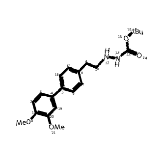 COc1ccc(-c2ccc(CCNNC(=O)OC(C)(C)C)cc2)cc1OC